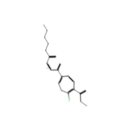 C=C(/C=C\C(=C)C1=CCC(F)=C(C(=C)CC)C=C1)CCCCC